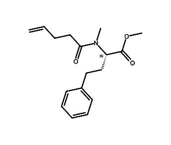 C=CCCC(=O)N(C)[C@@H](CCc1ccccc1)C(=O)OC